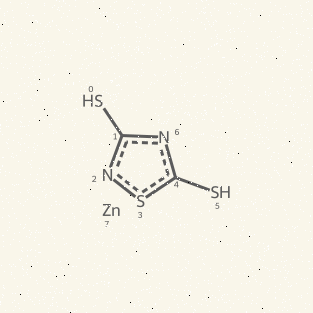 Sc1nsc(S)n1.[Zn]